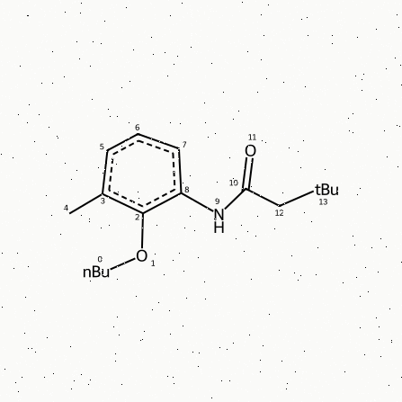 CCCCOc1c(C)cccc1NC(=O)CC(C)(C)C